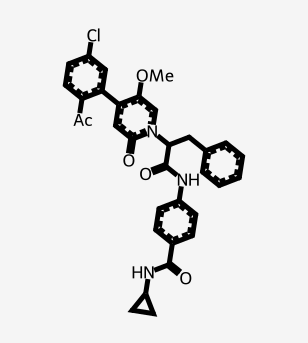 COc1cn(C(Cc2ccccc2)C(=O)Nc2ccc(C(=O)NC3CC3)cc2)c(=O)cc1-c1cc(Cl)ccc1C(C)=O